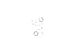 CC[C@H](C)[C@@H](CNN(Cc1ccnnc1)C(=O)C1Cc2cccc3c2N1C(=O)CCC3)NC(C)=O